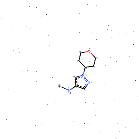 CCNc1cnn(C2CCOCC2)c1